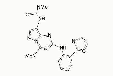 CNC(=O)Nc1cnn2c(NC)cc(Nc3ccccc3-c3ncco3)nc12